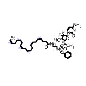 CC/C=C\C/C=C\C/C=C\C/C=C\C/C=C\C/C=C\CCC(=O)NCCNP(=O)(Oc1ccccc1)OC(C)[C@H]1O[C@@H](n2ccc(N)nc2=O)C(F)(F)[C@@H]1O